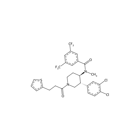 CN(C(=O)c1cc(C(F)(F)F)cc(C(F)(F)F)c1)[C@@H]1CCN(C(=O)CCc2cccs2)C[C@H]1c1ccc(Cl)c(Cl)c1